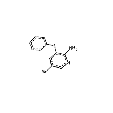 Nc1ncc(Br)cc1Sc1ccccc1